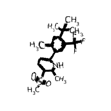 Cc1cc(C(C)(C)C)c(C(F)(F)F)cc1C1=CC=C(S(C)(=O)=O)C(C)N1